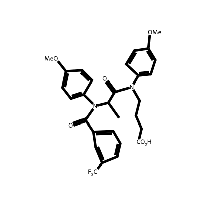 COc1ccc(N(CCCC(=O)O)C(=O)C(C)N(C(=O)c2cccc(C(F)(F)F)c2)c2ccc(OC)cc2)cc1